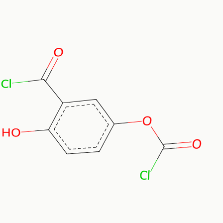 O=C(Cl)Oc1ccc(O)c(C(=O)Cl)c1